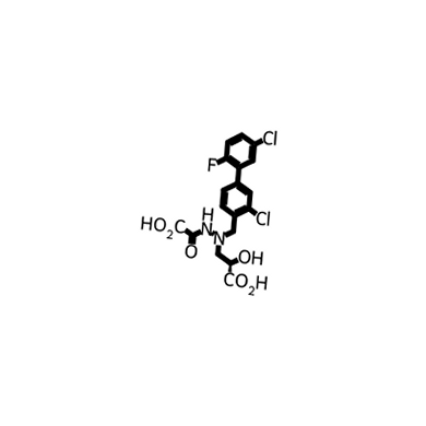 O=C(O)C(=O)NN(Cc1ccc(-c2cc(Cl)ccc2F)cc1Cl)C[C@@H](O)C(=O)O